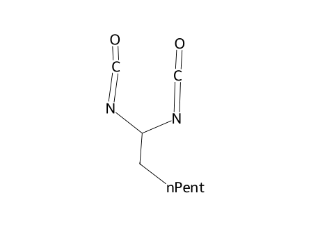 CCCCCCC(N=C=O)N=C=O